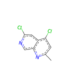 Cc1cc(Cl)c2cc(Cl)ncc2n1